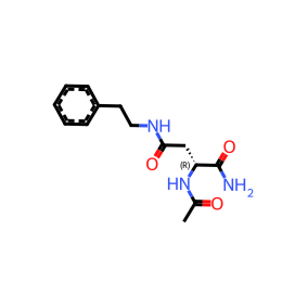 CC(=O)N[C@H](CC(=O)NCCc1ccccc1)C(N)=O